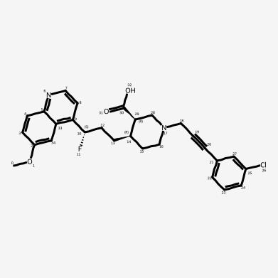 COc1ccc2nccc([C@@H](F)CC[C@@H]3CCN(CC#Cc4cccc(Cl)c4)C[C@@H]3C(=O)O)c2c1